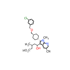 CC(CC(=O)O)CC(O)c1c2cc(C#N)cnc2n(C)c1[C@H]1CC[C@H](COCc2cccc(Cl)c2)CC1